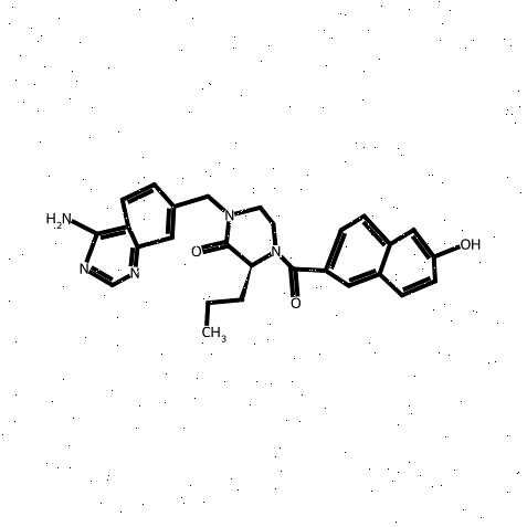 CCC[C@H]1C(=O)N(Cc2ccc3c(N)ncnc3c2)CCN1C(=O)c1ccc2cc(O)ccc2c1